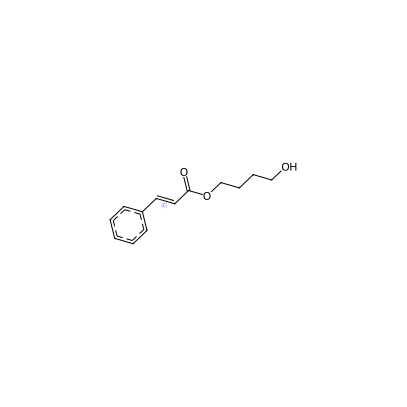 O=C(/C=C/c1ccccc1)OCCCCO